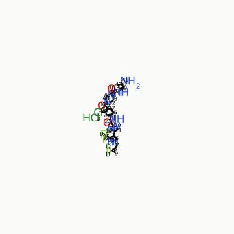 Cl.Cn1c(-c2cn(CC3CC3(F)F)nc2C(F)(F)F)cnc1C(=O)Nc1ccc(C(=O)N2CCN(C(=O)N[C@H]3C[C@@H](N)C3)CC2)c(Cl)c1